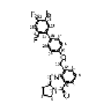 N#CC1CCCN1C(=O)c1cccc(COc2ccc(-c3cc(F)c(F)cc3F)cc2)c1